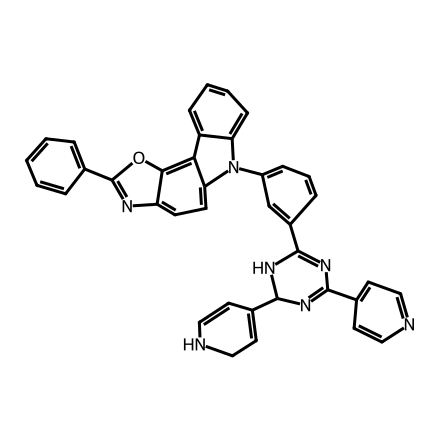 C1=CC(C2N=C(c3ccncc3)N=C(c3cccc(-n4c5ccccc5c5c6oc(-c7ccccc7)nc6ccc54)c3)N2)=CCN1